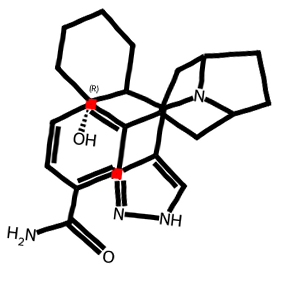 NC(=O)c1cccc(C2CC3CCC(C2)N3C(c2c[nH]nn2)C2CCCC[C@H]2O)c1